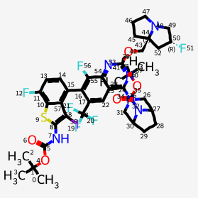 CC(C)(C)OC(=O)Nc1sc2c(F)ccc(-c3c(C(F)(F)F)cc4c(N5CC6CCC(C5)N6C(=O)OC(C)(C)C)nc(OC[C@@]56CCCN5C[C@H](F)C6)nc4c3F)c2c1I